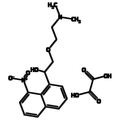 CN(C)CCOCC(O)c1cccc2cccc([N+](=O)[O-])c12.O=C(O)C(=O)O